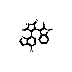 Cn1c(Cl)c(C2=C(c3ccc(O)c4ccoc34)C(=O)NC2=O)c2ccccc21